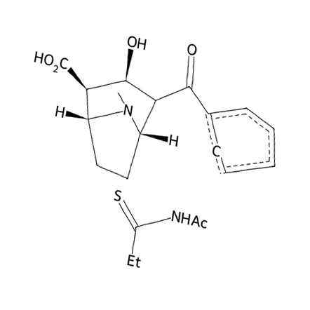 CCC(=S)NC(C)=O.CN1[C@@H]2CC[C@H]1C(C(=O)c1ccccc1)[C@H](O)[C@@H]2C(=O)O